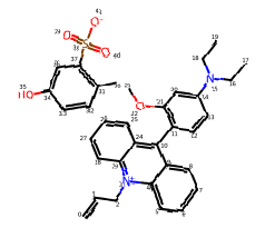 C=CC[n+]1c2ccccc2c(-c2ccc(N(CC)CC)cc2OC)c2ccccc21.Cc1ccc(O)cc1S(=O)(=O)[O-]